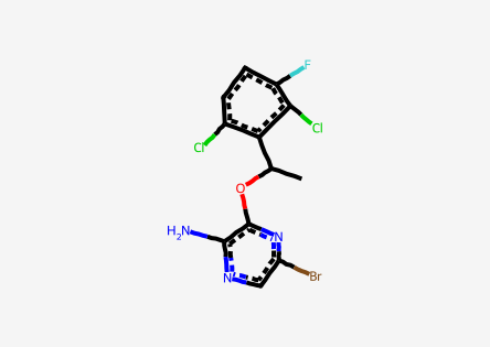 CC(Oc1nc(Br)cnc1N)c1c(Cl)ccc(F)c1Cl